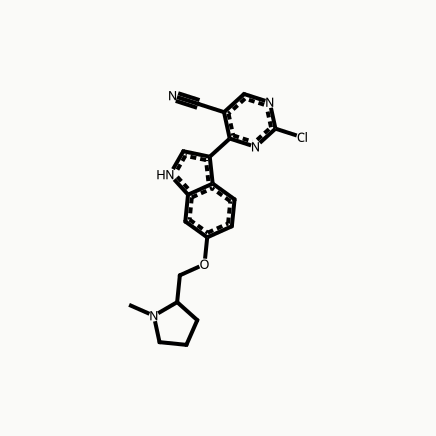 CN1CCCC1COc1ccc2c(-c3nc(Cl)ncc3C#N)c[nH]c2c1